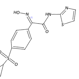 O=C(Nc1nccs1)/C(=N/O)c1ccc(S(=O)(=O)C2CC2)cc1